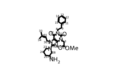 COC(=O)Cn1c(=O)n(CCc2ccccc2)c(=O)c2c1nc(N1CCCC(N)C1)n2CC=C(C)C